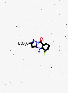 CCOC(=O)c1cc2[nH]c3c(F)cccc3c(=O)n2n1